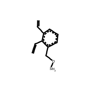 C=Cc1cccc(CO[SiH3])c1C=C